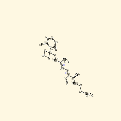 C=C/C(=C\N=C(/N)NCC1(c2ncccc2F)CCC1)C(=O)NCCNC(C)=O